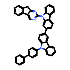 c1ccc(-c2ccc(-n3c4ccccc4c4cc(-c5ccc6c7ccccc7n(-c7ncc8c(n7)Cc7ccccc7-8)c6c5)ccc43)cc2)cc1